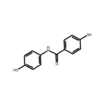 O=C(Nc1ccc(S)cc1)c1ccc(S)cc1